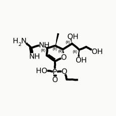 CCOP(=O)(O)C1=C[C@H](NC(=N)N)[C@@H](C)[C@H]([C@H](O)[C@H](O)CO)O1